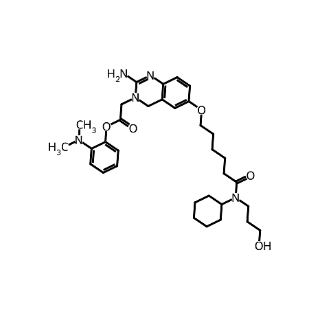 CN(C)c1ccccc1OC(=O)CN1Cc2cc(OCCCCCC(=O)N(CCCO)C3CCCCC3)ccc2N=C1N